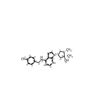 [CH2][C@H]1C[C@@H](n2ccc3c(NCc4ccc(Cl)cc4)ncnc32)C[C@]1(C)O